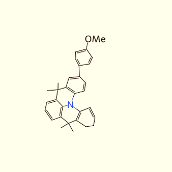 COc1ccc(-c2ccc3c(c2)C(C)(C)c2cccc4c2N3C2=C(CCC=C2)C4(C)C)cc1